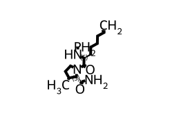 C=CCCCC[C@H](NP)C(=O)N1CCC(C)[C@H]1C(N)=O